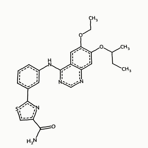 CCOc1cc2c(Nc3cccc(-c4nc(C(N)=O)cs4)c3)ncnc2cc1OC(C)CC